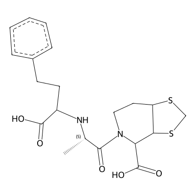 C[C@H](NC(CCc1ccccc1)C(=O)O)C(=O)N1CCC2SCSC2C1C(=O)O